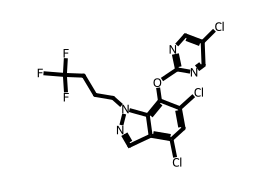 FC(F)(F)CCCn1ncc2c(Cl)cc(Cl)c(Oc3ncc(Cl)cn3)c21